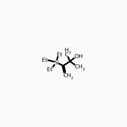 C=C(C(C)(C)O)[Si](CC)(CC)CC